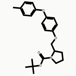 Cc1ccc(Oc2ccc(OCC3CCCN3C(=O)OC(C)(C)C)cc2)cc1